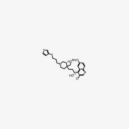 COc1ccc2ncc(Cl)c([C@H](O)CCC3(CO)CCN(CCCSc4ccsc4)CC3)c2c1